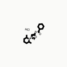 CC1CCCC(C)N1[n+]1cc([N-]C(=O)C2CCCCC2)on1.Cl